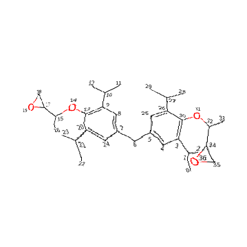 CC(C)c1cc(Cc2cc(C(C)C)c(OC(C)C3CO3)c(C(C)C)c2)cc(C(C)C)c1OC(C)C1CO1